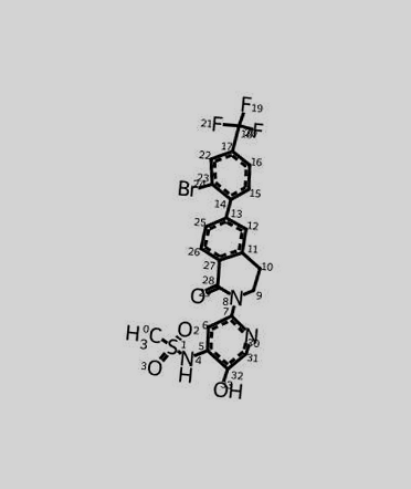 CS(=O)(=O)Nc1cc(N2CCc3cc(-c4ccc(C(F)(F)F)cc4Br)ccc3C2=O)ncc1O